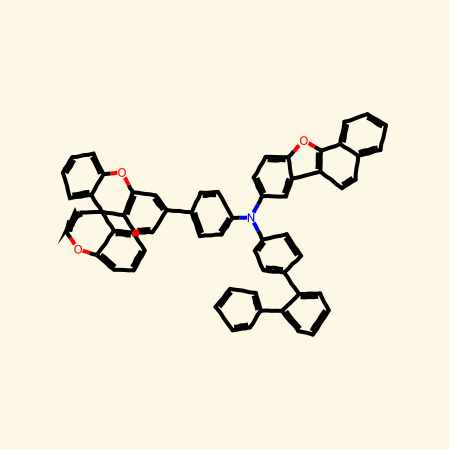 c1ccc(-c2ccccc2-c2ccc(N(c3ccc(-c4ccc5c(c4)Oc4ccccc4C54c5ccccc5Oc5ccccc54)cc3)c3ccc4oc5c6ccccc6ccc5c4c3)cc2)cc1